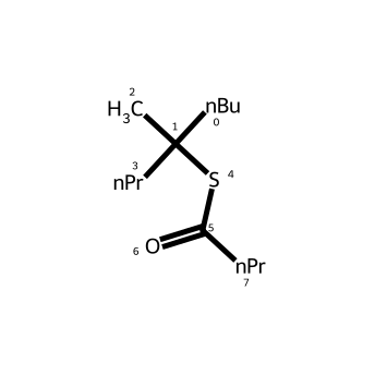 CCCCC(C)(CCC)SC(=O)CCC